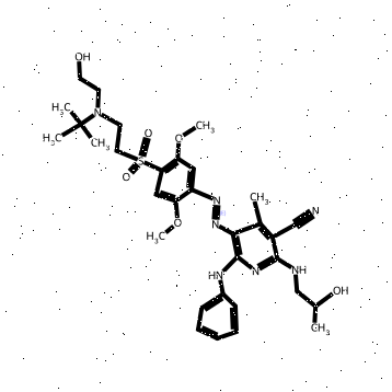 COc1cc(S(=O)(=O)CCN(CCO)C(C)(C)C)c(OC)cc1/N=N/c1c(Nc2ccccc2)nc(NCC(C)O)c(C#N)c1C